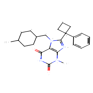 CC1CCC(Cn2c(C3(c4ccccc4)CCC3)nc3c2c(=O)[nH]c(=O)n3C)CC1